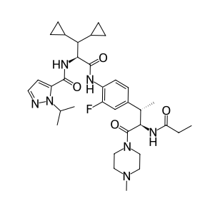 CCC(=O)N[C@@H](C(=O)N1CCN(C)CC1)[C@@H](C)c1ccc(NC(=O)[C@@H](NC(=O)c2ccnn2C(C)C)C(C2CC2)C2CC2)c(F)c1